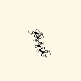 C=C(C)C(=O)NC(=O)NNC(=O)OC(C)(C)C